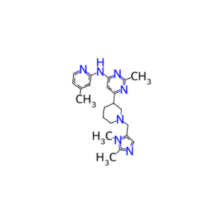 Cc1ccnc(Nc2cc(C3CCCN(Cc4cnc(C)n4C)C3)nc(C)n2)c1